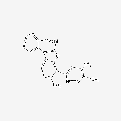 Cc1cnc(-c2c(C)ccc3c2oc2ncc4ccccc4c23)cc1C